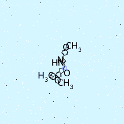 COc1ccc(-c2cc(/C=C3\Cc4cc(OC)c(OC)cc4C3=O)[nH]n2)cc1